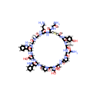 CCCC[C@H]1C(=O)N[C@@H](CC(N)=O)C(=O)N2CCC[C@H]2C(=O)N[C@@H](CO)C(=O)N[C@@H](CCO)C(=O)N2CCC[C@H]2C(=O)N[C@@H](Cc2c[nH]c3ccccc23)C(=O)N[C@@H](CCO)C(=O)N[C@@H](Cc2c[nH]c3ccccc23)C(=O)N(C)[C@@H](C)C(=O)N(C)[C@@H](C)C(=O)N[C@@H](CCCCN)C(=O)NC(C(=O)NCC(N)=O)CSCC(=O)N[C@@H](Cc2ccc(O)cc2)C(=O)N1C